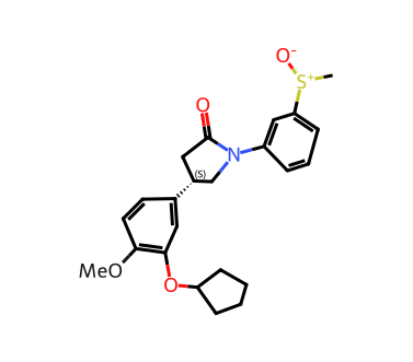 COc1ccc([C@@H]2CC(=O)N(c3cccc([S+](C)[O-])c3)C2)cc1OC1CCCC1